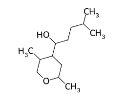 CC(C)CCC(O)C1CC(C)OCC1C